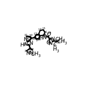 Cn1cc(-c2nc3c(-c4ccc5c(c4)CCC[C@H]5NC(=O)c4nc(C(C)(C)C)no4)ccnc3[nH]2)cn1